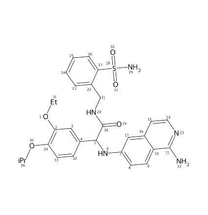 CCOc1cc(C(Nc2ccc3c(N)nccc3c2)C(=O)NCc2ccccc2S(N)(=O)=O)ccc1OC(C)C